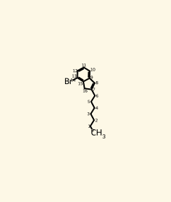 CCCCCCCC1=Cc2cccc(Br)c2C1